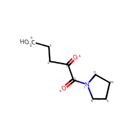 O=C(O)CCC(=O)C(=O)N1CCCC1